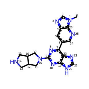 Cn1cnc2cc(-c3nc(N4CC5CNCC5C4)nc4[nH]cnc34)cnc21